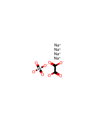 O=C([O-])C(=O)[O-].[Na+].[Na+].[Na+].[Na+].[O]=[W](=[O])([O-])[O-]